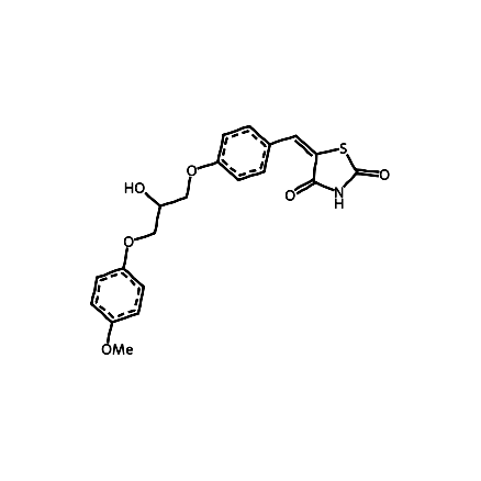 COc1ccc(OCC(O)COc2ccc(C=C3SC(=O)NC3=O)cc2)cc1